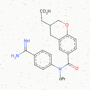 CCCN(C(=O)c1ccc2c(c1)CC(CC(=O)O)CO2)c1ccc(C(=N)N)cc1